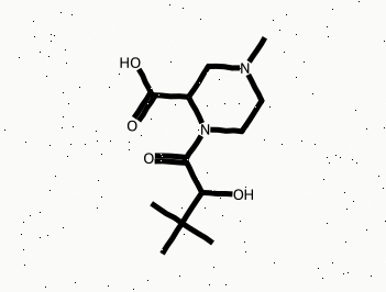 CN1CCN(C(=O)C(O)C(C)(C)C)C(C(=O)O)C1